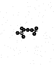 c1ccc(-c2nc(-c3ccccc3)nc(-c3cc(-c4ccc(-c5ccc(-n6c(-c7ccccc7)nc7ccccc76)cc5)cc4)cc4ccccc34)n2)cc1